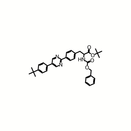 CC(C)(C)OC(=O)C(Cc1ccc(-c2ncc(-c3ccc(C(C)(C)C)cc3)cn2)cc1)NC(=O)OCc1ccccc1